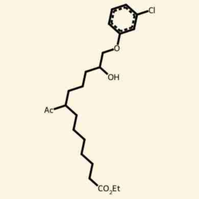 CCOC(=O)CCCCCCC(CCCC(O)COc1cccc(Cl)c1)C(C)=O